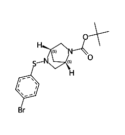 CC(C)(C)OC(=O)N1C[C@@H]2C[C@H]1CN2Sc1ccc(Br)cc1